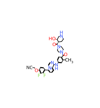 Cc1cc(NC2=NC=CN3C2=C=CC=C3c2ccc(OCC#N)c(F)c2F)ccc1C(=O)N1CCN(C(=O)[C@@H]2CCNC[C@@H]2O)CC1